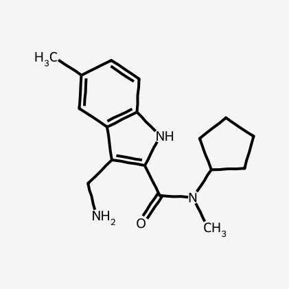 Cc1ccc2[nH]c(C(=O)N(C)C3CCCC3)c(CN)c2c1